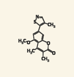 COc1cc(-c2sncc2C)cc2oc(=O)c(C)c(C)c12